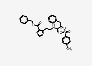 Cc1ccc(S(=O)(=O)O[C@H](Cc2ccccc2)C(=O)NCCc2ocnc2C(=O)OCc2ccccc2)cc1